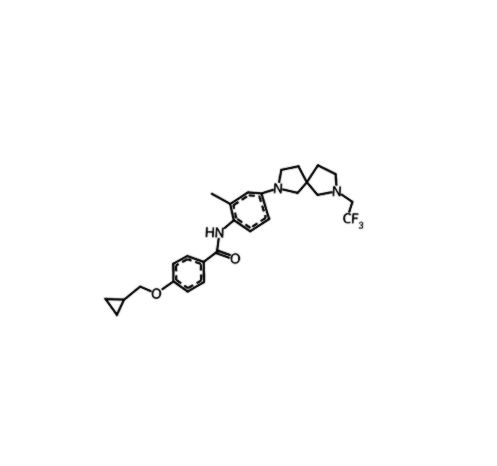 Cc1cc(N2CCC3(CCN(CC(F)(F)F)C3)C2)ccc1NC(=O)c1ccc(OCC2CC2)cc1